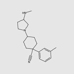 CNC1CCN(C2CCC(C#N)(c3cccc(C)c3)CC2)C1